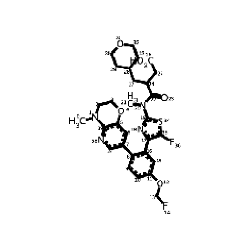 CN1CCOc2cc(-c3ccc(OCF)cc3-c3nc(N(C)C(=O)C(CC(=O)O)CC4CCOCC4)sc3F)cnc21